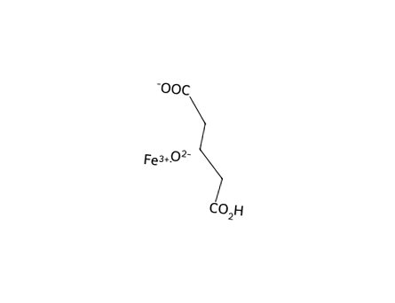 O=C([O-])CCCC(=O)O.[Fe+3].[O-2]